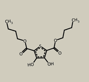 CCCCOC(=O)c1sc(C(=O)OCCCC)c(O)c1O